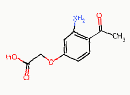 CC(=O)c1ccc(OCC(=O)O)cc1N